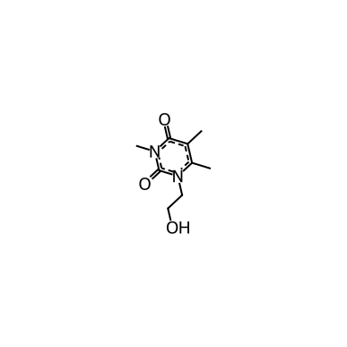 Cc1c(C)n(CCO)c(=O)n(C)c1=O